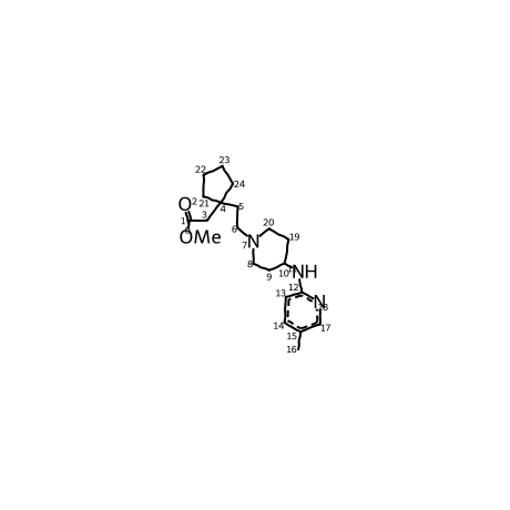 COC(=O)CC1(CCN2CCC(Nc3ccc(C)cn3)CC2)CCCC1